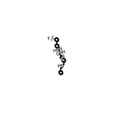 O=C(Nc1nc2cc(-c3cccc(C(F)(F)F)c3)ccc2[nH]1)c1cn2cc(CNCCc3ccccc3)ccc2n1